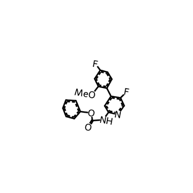 COc1cc(F)ccc1-c1cc(NC(=O)Oc2ccccc2)ncc1F